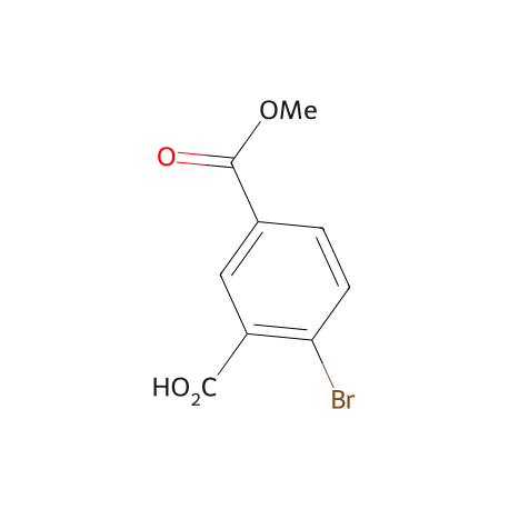 COC(=O)c1ccc(Br)c(C(=O)O)c1